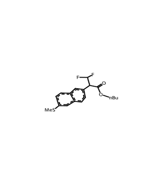 CCCCOC(=O)C(c1ccc2cc(SC)ccc2c1)C(F)F